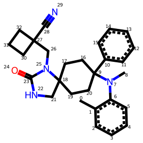 Cc1ccccc1N(C)C1(c2ccccc2)CCC2(CC1)CNC(=O)N2CC1(C#N)CCC1